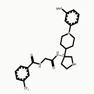 CSc1cccc(N2CCC([C@]3(NC(=O)CNC(=O)c4cccc(C(F)(F)F)c4)CCNC3)CC2)c1